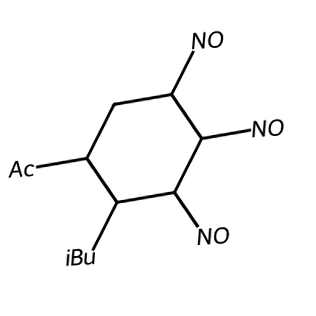 CCC(C)C1C(C(C)=O)CC(N=O)C(N=O)C1N=O